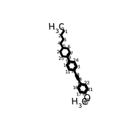 CCCCCC1CC=C(c2ccc(C#Cc3ccc(OC)cc3)cc2)CC1